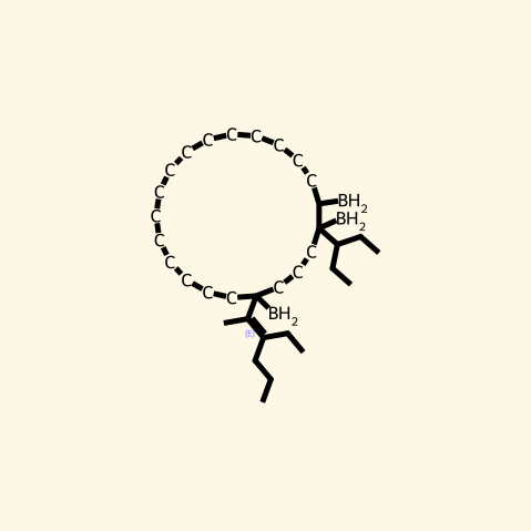 BC1CCCCCCCCCCCCCCCC(B)(/C(C)=C(\CC)CCC)CCCC1(B)C(CC)CC